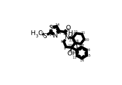 CSc1nc(C(=O)N2CC[C@@](O)(c3ccccc3)[C@@H]3CCCC[C@@H]32)cs1